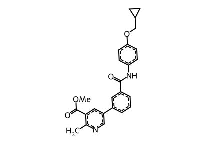 COC(=O)c1cc(-c2cccc(C(=O)Nc3ccc(OCC4CC4)cc3)c2)cnc1C